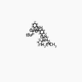 CN(C)CCCN(Cc1ccc(C(=O)Nc2ccccc2NC(=O)CC(C)(C)C)cc1)C(=O)NC1CCCC1